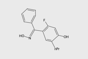 CCCc1cc(C(=NO)c2ccccc2)c(F)cc1O